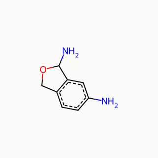 Nc1ccc2c(c1)C(N)OC2